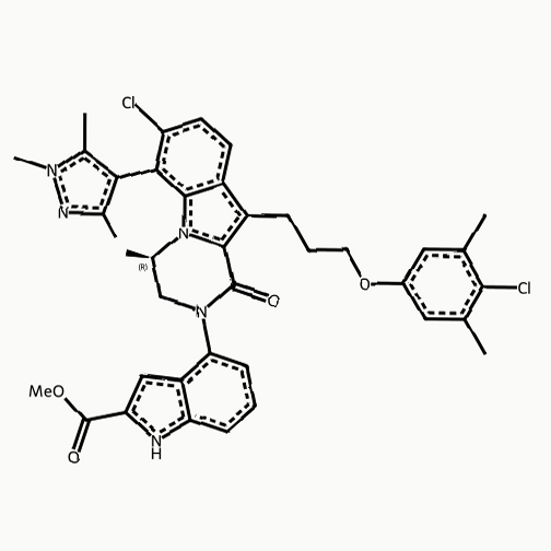 COC(=O)c1cc2c(N3C[C@@H](C)n4c(c(CCCOc5cc(C)c(Cl)c(C)c5)c5ccc(Cl)c(-c6c(C)nn(C)c6C)c54)C3=O)cccc2[nH]1